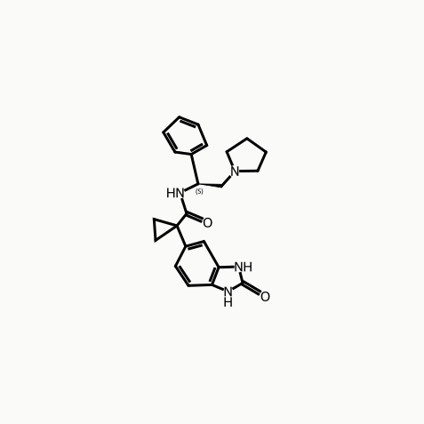 O=C(N[C@H](CN1CCCC1)c1ccccc1)C1(c2ccc3[nH]c(=O)[nH]c3c2)CC1